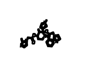 Cc1nccn1CC(=O)OC1CCN(Cc2ccccc2)C(OC(=O)Cn2ccnc2C)(c2ccn(C)c2)C1C